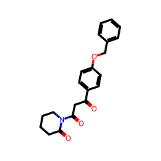 O=C(CC(=O)N1CCCCC1=O)c1ccc(OCc2ccccc2)cc1